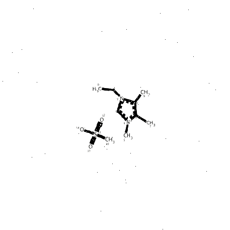 CCn1c[n+](C)c(C)c1C.CS(=O)(=O)[O-]